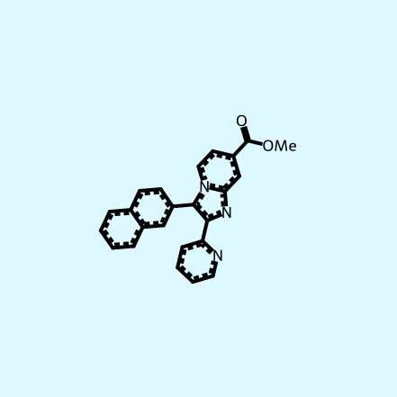 COC(=O)c1ccn2c(-c3ccc4ccccc4c3)c(-c3ccccn3)nc2c1